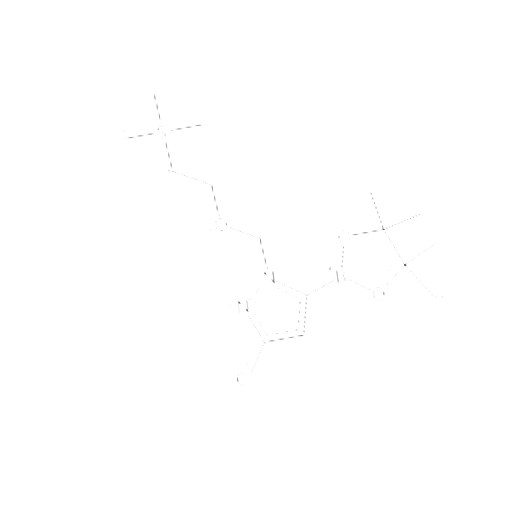 CC1(C)OB(c2cc(Cl)nn2COCC[Si](C)(C)C)OC1(C)C